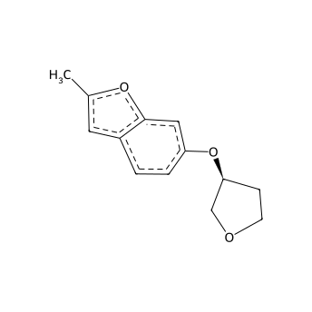 Cc1cc2ccc(O[C@H]3CCOC3)cc2o1